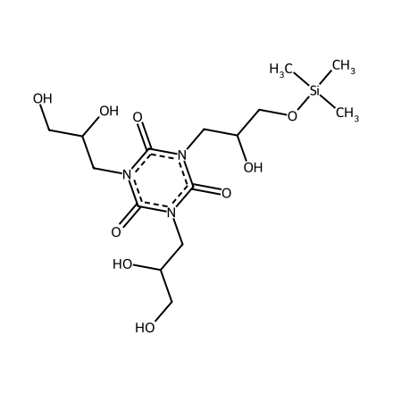 C[Si](C)(C)OCC(O)Cn1c(=O)n(CC(O)CO)c(=O)n(CC(O)CO)c1=O